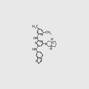 Cc1cc(C)nc(Nc2nc(Nc3ccn4ccnc4c3)cc(N3C[C@H]4CCC[C@H]4C3)n2)c1